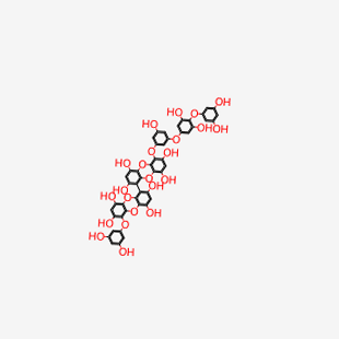 Oc1cc(O)cc(Oc2c(O)cc(Oc3cc(O)cc(Oc4c(O)cc(O)c5c4Oc4c(O)cc(O)c(-c6c(O)cc(O)c7c6Oc6c(O)cc(O)c(Oc8cc(O)cc(O)c8)c6O7)c4O5)c3)cc2O)c1